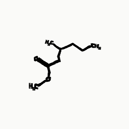 CCCC(C)CC(=O)OC